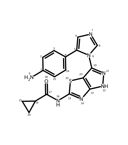 Nc1ccc(-c2cncn2-c2n[nH]c3nc(NC(=O)C4CC4)sc23)cc1